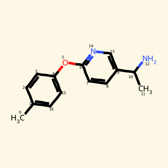 Cc1ccc(Oc2ccc(C(C)N)cn2)cc1